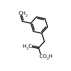 C=Cc1cccc(CC(=C)C(=O)O)c1